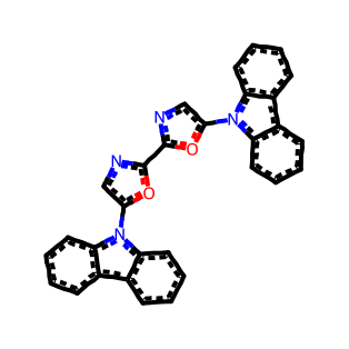 c1ccc2c(c1)c1ccccc1n2-c1cnc(-c2ncc(-n3c4ccccc4c4ccccc43)o2)o1